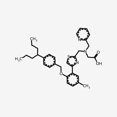 CCCC(CCC)c1ccc(COc2ccc(C)cc2-c2csc(CN(CC(=O)O)Cc3ccccn3)n2)cc1